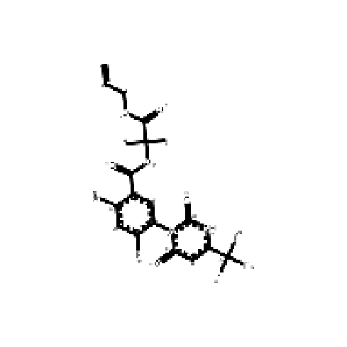 C=CCOC(=O)C(C)(C)OC(=O)c1cc(-n2c(=O)cc(C(F)(F)F)[nH]c2=O)c(F)cc1Br